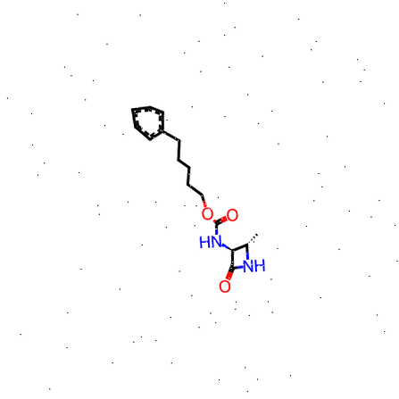 C[C@@H]1NC(=O)[C@H]1NC(=O)OCCCCCc1ccccc1